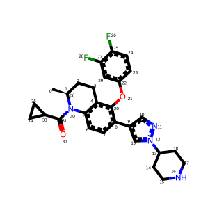 C[C@H]1CCc2c(ccc(-c3cnn(C4CCNCC4)c3)c2Oc2ccc(F)c(F)c2)N1C(=O)C1CC1